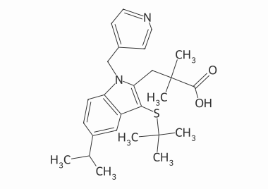 CC(C)c1ccc2c(c1)c(SC(C)(C)C)c(CC(C)(C)C(=O)O)n2Cc1ccncc1